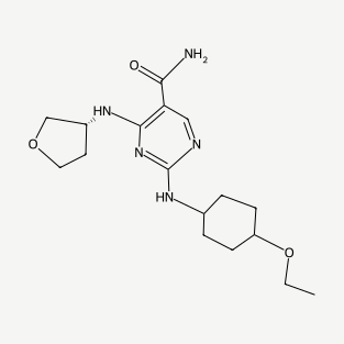 CCOC1CCC(Nc2ncc(C(N)=O)c(N[C@@H]3CCOC3)n2)CC1